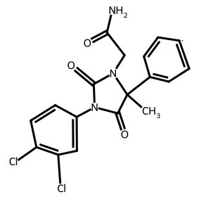 CC1(c2cc[c]cc2)C(=O)N(c2ccc(Cl)c(Cl)c2)C(=O)N1CC(N)=O